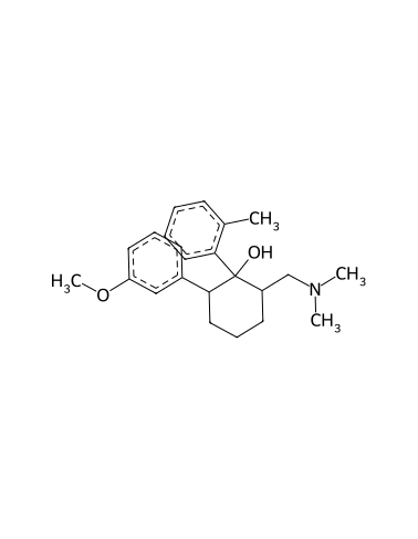 COc1cccc(C2CCCC(CN(C)C)C2(O)c2ccccc2C)c1